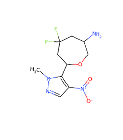 Cn1ncc([N+](=O)[O-])c1C1CC(F)(F)CC(N)CO1